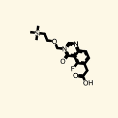 C[Si](C)(C)CCOCn1cnc2ccc(CC(=O)O)c(F)c2c1=O